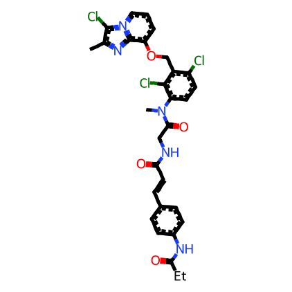 CCC(=O)Nc1ccc(C=CC(=O)NCC(=O)N(C)c2ccc(Cl)c(COc3cccn4c(Cl)c(C)nc34)c2Cl)cc1